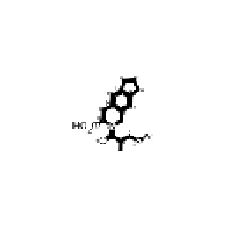 CC(=O)SCC(C)C(=O)N1Cc2cc3c(cc2CC1C(=O)O)CCC3